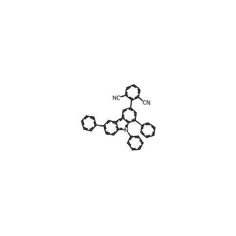 N#Cc1cccc(C#N)c1-c1cc(-c2ccccc2)c2c(c1)c1cc(-c3ccccc3)ccc1n2-c1ccccc1